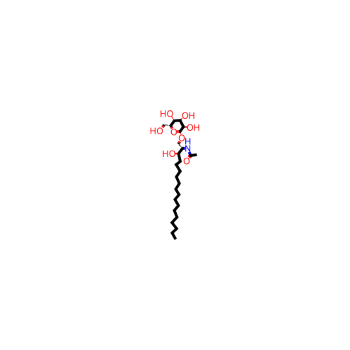 CCCCCCCCCCCCCCC[C@@H](O)[C@H](CO[C@@H]1O[C@H](CO)[C@H](O)[C@H](O)[C@H]1O)NC(C)=O